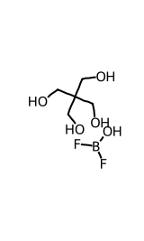 OB(F)F.OCC(CO)(CO)CO